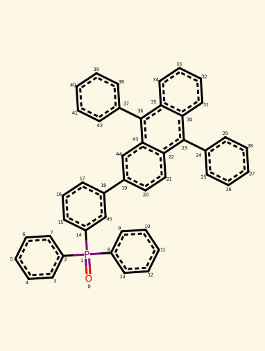 O=P(c1ccccc1)(c1ccccc1)c1cccc(-c2ccc3c(-c4ccccc4)c4ccccc4c(-c4ccccc4)c3c2)c1